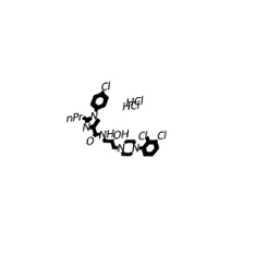 CCCc1nc(C(=O)NC[C@H](O)CN2CCN(c3cccc(Cl)c3Cl)CC2)cn1-c1ccc(Cl)cc1.Cl.Cl